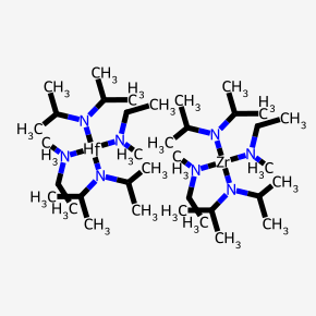 CC[N](C)[Hf]([N](C)CC)([N](C(C)C)C(C)C)[N](C(C)C)C(C)C.CC[N](C)[Zr]([N](C)CC)([N](C(C)C)C(C)C)[N](C(C)C)C(C)C